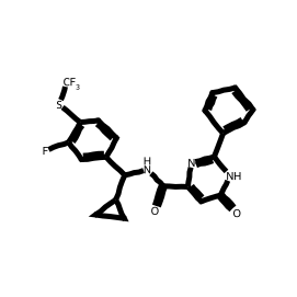 O=C(NC(c1ccc(SC(F)(F)F)c(F)c1)C1CC1)c1cc(=O)[nH]c(-c2ccccc2)n1